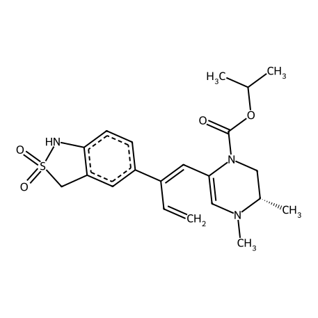 C=C/C(=C\C1=CN(C)[C@@H](C)CN1C(=O)OC(C)C)c1ccc2c(c1)CS(=O)(=O)N2